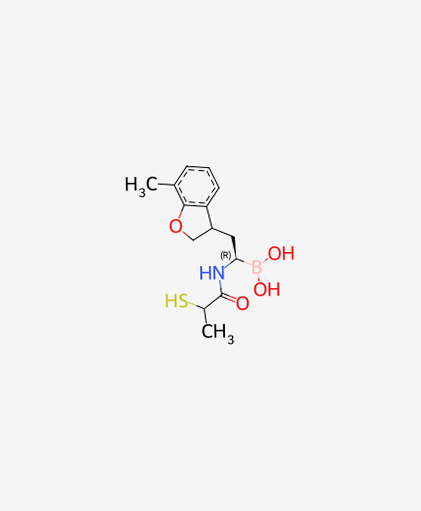 Cc1cccc2c1OCC2C[C@H](NC(=O)C(C)S)B(O)O